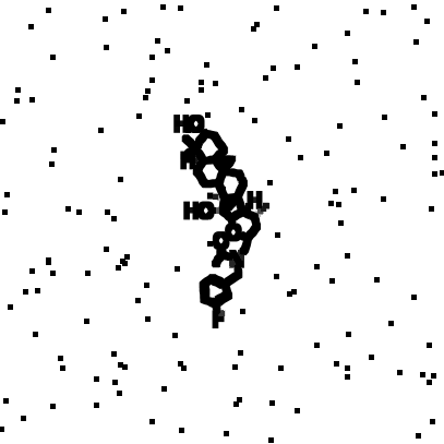 CC(=O)N(Cc1cccc(F)c1)CC1C[C@@H](C)[C@H]2C(O1)[C@H](O)[C@@]1(C)C3CC[C@H]4C(C)(C)C(O)CCC45CC35CCC21C